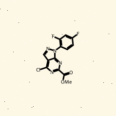 COC(=O)c1nc(Cl)c2cnn(-c3ccc(F)cc3F)c2n1